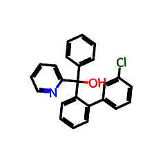 OC(c1ccccc1)(c1ccccn1)c1ccccc1-c1cccc(Cl)c1